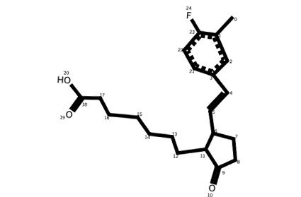 Cc1cc(/C=C/C2CCC(=O)C2CCCCCCC(=O)O)ccc1F